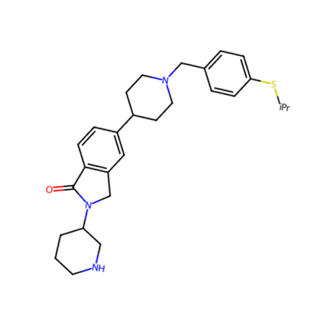 CC(C)Sc1ccc(CN2CCC(c3ccc4c(c3)CN(C3CCCNC3)C4=O)CC2)cc1